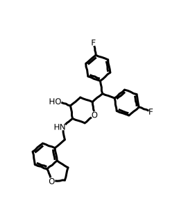 OC1CC(C(c2ccc(F)cc2)c2ccc(F)cc2)OCC1NCc1cccc2c1CCO2